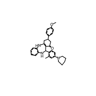 COc1ccc(C2CC(=O)C3=C(C2)Nc2ccccc2NC3c2ccc(N3CCCCC3)cc2C)cc1